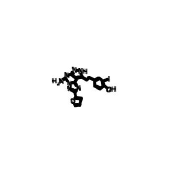 Nc1nc2n[nH]c(CCc3ccc(O)c(I)c3)c2c2nc(-c3ccco3)nn12